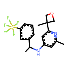 Cc1cc(NC(C)c2cccc(S(F)(F)(F)(F)F)c2)cc(C2(C)COC2)n1